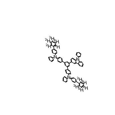 [2H]c1c([2H])c([2H])c(-c2ccc(N(c3ccccc3)c3ccc(-c4cc(-c5ccc(N(c6ccccc6)c6ccc(-c7c([2H])c([2H])c([2H])c([2H])c7[2H])cc6)cc5)cc(-c5ccc6c(c5)c5ccccc5n6-c5ccccc5)c4)cc3)cc2)c([2H])c1[2H]